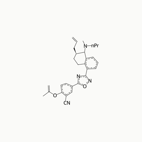 C=CC[C@@H]1CCc2c(-c3noc(-c4ccc(OC(=C)C)c(C#N)c4)n3)cccc2C1N(C)CCC